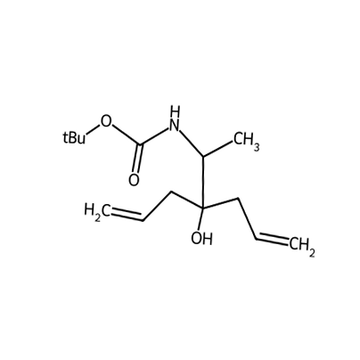 C=CCC(O)(CC=C)C(C)NC(=O)OC(C)(C)C